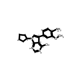 COc1cc(-c2cn(C3CCCC3)c3ncnc(Cl)c23)ccc1N